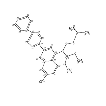 CCN(CC)C(CCC(C)N)c1nc(-c2ccc(-c3ccccc3)cc2)nc2cc(Cl)ccc12